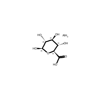 O=C(O)[C@H]1O[C@@H](O)[C@H](O)[C@@H](O)[C@@H]1O.[AlH3]